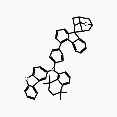 CC1(C)CCC(C)(C)c2c(N(c3ccc(-c4cccc5c4-c4ccccc4C54C5CC6CC7CC4C75C6)cc3)c3ccc4oc5ccccc5c4c3)cccc21